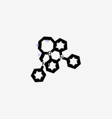 C1=C\C(=C\Nc2ccccc2)B2c3ccccc3N(c3ccccc3)c3cccc(c32)\C=C/1